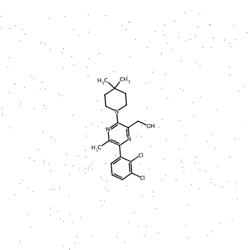 Cc1nc(N2CCC(C)(C)CC2)c(CO)nc1-c1cccc(Cl)c1Cl